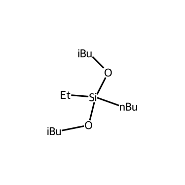 CCCC[Si](CC)(OC(C)CC)OC(C)CC